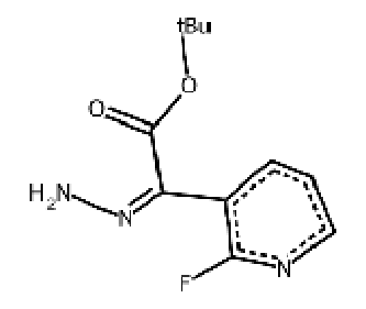 CC(C)(C)OC(=O)C(=NN)c1cccnc1F